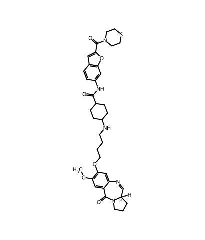 COc1cc2c(cc1OCCCCNC1CCC(C(=O)Nc3ccc4cc(C(=O)N5CCSCC5)oc4c3)CC1)N=C[C@@H]1CCCN1C2=O